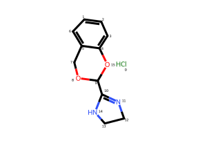 Cl.c1ccc2c(c1)COC(C1=NCCN1)O2